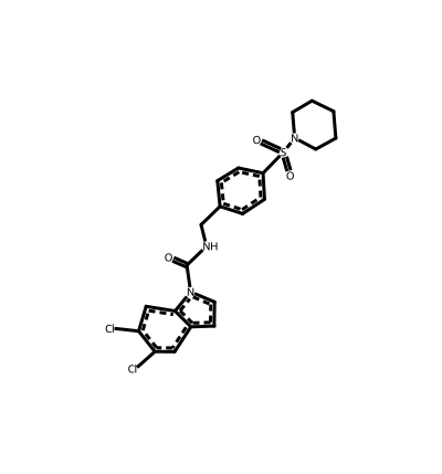 O=C(NCc1ccc(S(=O)(=O)N2CCCCC2)cc1)n1ccc2cc(Cl)c(Cl)cc21